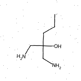 [CH2]CCC(O)(CN)CN